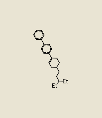 CCC(CC)CCC1CC=C(c2ccc(-c3ccccc3)cc2)CC1